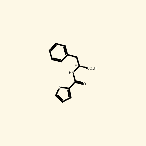 O=C(N[C@@H](Cc1ccccc1)C(=O)O)c1cccs1